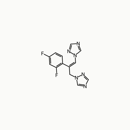 Fc1ccc(C(=Cn2cncn2)Cn2cncn2)c(F)c1